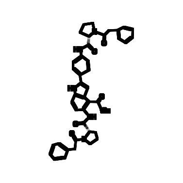 CC(C)(C)C(=O)c1c(NC(=O)[C@@H]2CCCN2C(=O)Cc2ccccc2)ccc2[nH]c(-c3ccc(NC(=O)[C@@H]4CCCN4C(=O)Cc4ccccc4)cc3)cc12